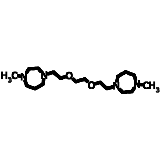 CN1CCCN(CCOCCOCCN2CCCN(C)CC2)CC1